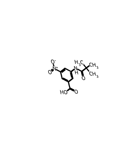 CC(C)(C)C(=O)Nc1cc(C(=O)O)cc([N+](=O)[O-])c1